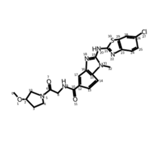 CO[C@@H]1CCN(C(=O)CNC(=O)c2ccc3c(c2)nc(Nc2nc4ccc(Cl)cc4s2)n3C)C1